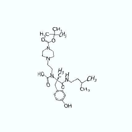 CC(C)CCNC(=O)[C@](C)(Cc1ccc(O)cc1)N(CCN1CCN(C(=O)OC(C)(C)C)CC1)C(=O)O